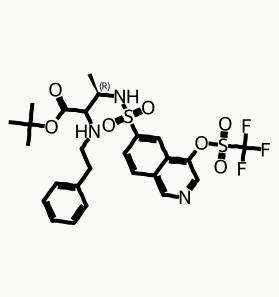 C[C@@H](NS(=O)(=O)c1ccc2cncc(OS(=O)(=O)C(F)(F)F)c2c1)C(NCCc1ccccc1)C(=O)OC(C)(C)C